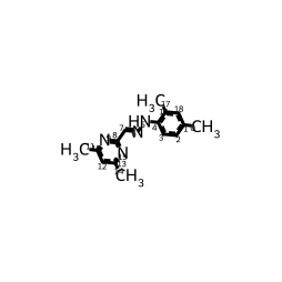 Cc1ccc(N/N=C/c2nc(C)cc(C)n2)c(C)c1